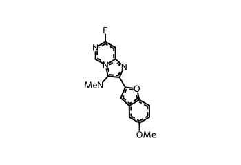 CNc1c(-c2cc3cc(OC)ccc3o2)nc2cc(F)ncn12